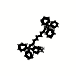 C#C/C=C(\C=C/C)[PH](CCCCCCCCC[PH](c1ccccc1)(c1ccccc1)c1ccccc1)(C1=CC=C=CC=C1)c1ccccc1